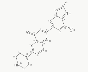 Cc1cn2cc(-c3cc(=O)n4cc(N5CCNCC5)ccc4n3)cc(C(F)(F)F)c2n1